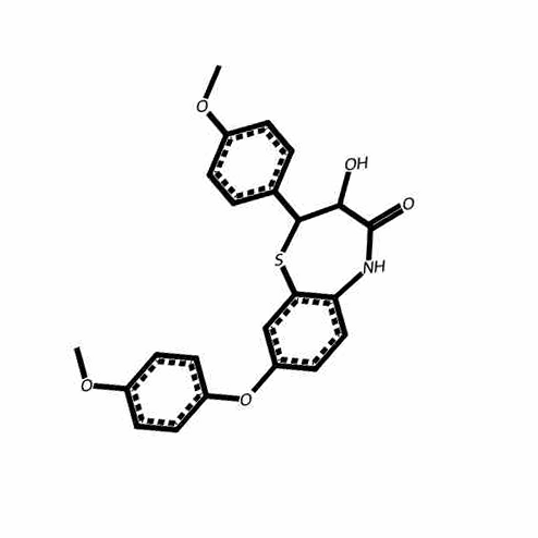 COc1ccc(Oc2ccc3c(c2)SC(c2ccc(OC)cc2)C(O)C(=O)N3)cc1